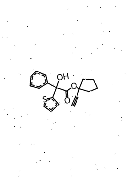 C#CC1(OC(=O)C(O)(c2ccccc2)c2cccs2)CCCC1